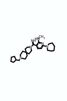 CNc1nc(N2CCCCCC2)ccc1C(=N)N1CCC2(CCN(CC3CCCC3)CC2)CC1